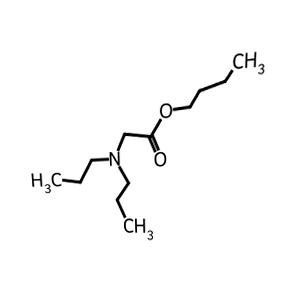 CCCCOC(=O)CN(CCC)CCC